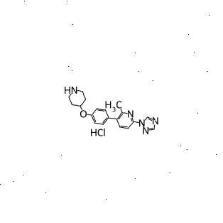 Cc1nc(-n2cncn2)ccc1-c1ccc(OC2CCNCC2)cc1.Cl